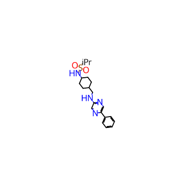 CC(C)S(=O)(=O)NC1CCC(CNc2cnc(-c3ccccc3)cn2)CC1